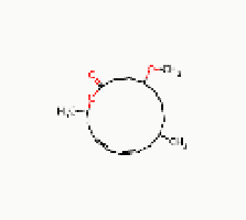 COC1CCCC(C)CC=CC=CCC(C)OC(=O)CC1